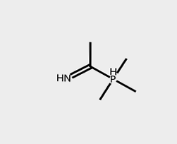 CC(=N)[PH](C)(C)C